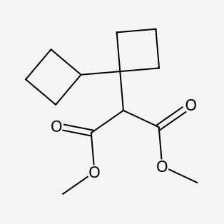 COC(=O)C(C(=O)OC)C1(C2CCC2)CCC1